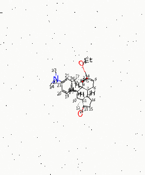 CCOC1=CC2=CC[C@@H]3[C@@H]4[C@H](C[C@]5(C)C(=O)CC[C@H]35)c3ccc(N(C)C)cc3C[C@]24CC1